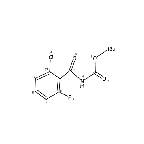 CC(C)(C)OC(=O)NC(=O)c1c(F)cccc1Cl